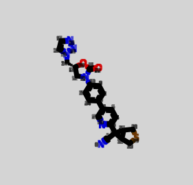 N#CC1(c2ccc(-c3ccc(N4C[C@H](Cn5ccnn5)OC4=O)cc3)cn2)C2CSCC21